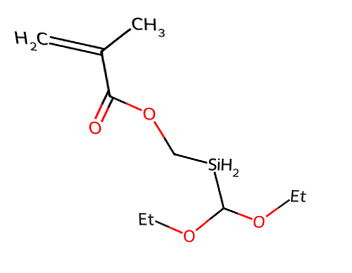 C=C(C)C(=O)OC[SiH2]C(OCC)OCC